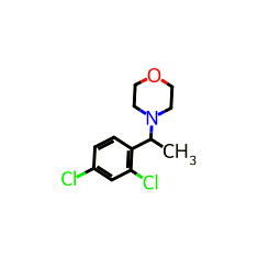 CC(c1ccc(Cl)cc1Cl)N1CCOCC1